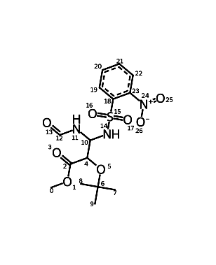 COC(=O)C(OC(C)(C)C)C(NC=O)NS(=O)(=O)c1ccccc1[N+](=O)[O-]